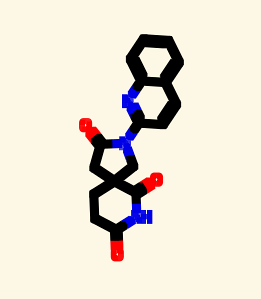 O=C1CCC2(CC(=O)N(c3ccc4ccccc4n3)C2)C(=O)N1